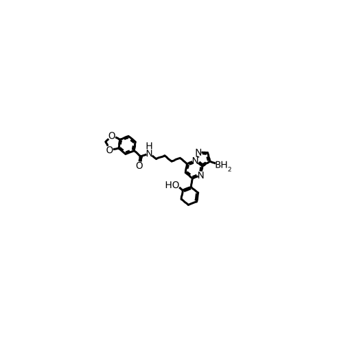 Bc1cnn2c(CCCCNC(=O)c3ccc4c(c3)OCO4)cc(C3=C(O)CCC=C3)nc12